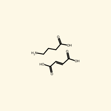 NCCCC(=O)O.O=C(O)/C=C/C(=O)O